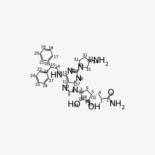 NC(=O)CC[C@H]1C[C@@H](n2cnc3c(NCC(c4ccccc4)c4ccccc4)nc(N4CC[C@@H](N)C4)nc32)[C@H](O)[C@@H]1O